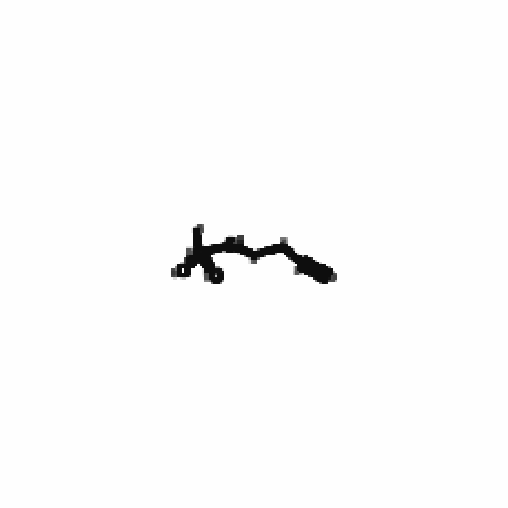 C#CCCSS(C)(=O)=O